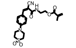 C=C(C)C(=O)OCCNC(=O)C(C#N)=Cc1ccc(N2CCS(=O)(=O)CC2)cc1